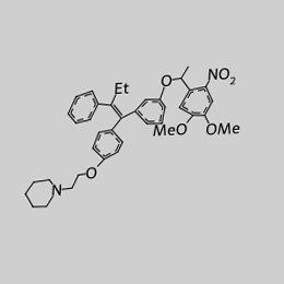 CC/C(=C(/c1ccc(OCCN2CCCCC2)cc1)c1cccc(OC(C)c2cc(OC)c(OC)cc2[N+](=O)[O-])c1)c1ccccc1